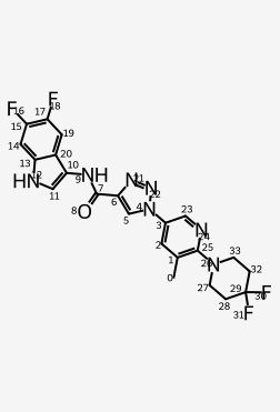 Cc1cc(-n2cc(C(=O)Nc3c[nH]c4cc(F)c(F)cc34)nn2)cnc1N1CCC(F)(F)CC1